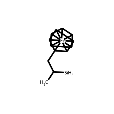 CC([SiH3])C[C]12[CH]3[CH]4[CH]5[CH]1[Fe]45321678[CH]2[CH]1[CH]6[CH]7[CH]28